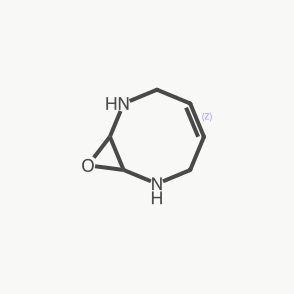 C1=C\CNC2OC2NC/1